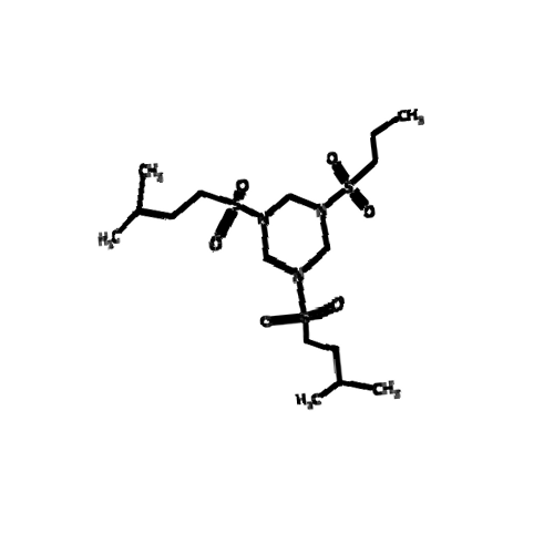 CCCS(=O)(=O)N1CN(S(=O)(=O)CCC(C)C)CN(S(=O)(=O)CCC(C)C)C1